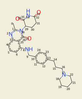 Cc1nc2cccc(NCc3ccc(CCCN4CCCCC4)cc3)c2c(=O)n1C1CCC(=O)NC1=O